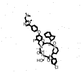 C[C@H]1C(=O)N[C@@H](CO)C(=O)N[C@@]2(Cc3ccc(Cl)cc3)CCCN(C2)C(=O)[C@H](C2CCc3ccccc32)CC(=O)N1Cc1ccc(Oc2ccc(-c3cnc(CN(C)C)n3C)cc2)cc1F